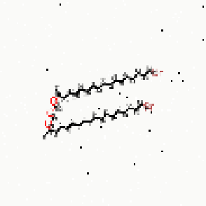 CC(CCC=CCCCCCCCCCCCCBr)OCOCOC(C)CCC=CCCCCCCCCCCCCBr